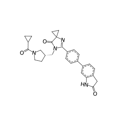 O=C1Cc2ccc(-c3ccc(C4=NC5(CC5)C(=O)N4C[C@@H]4CCN(C(=O)C5CC5)C4)cc3)cc2N1